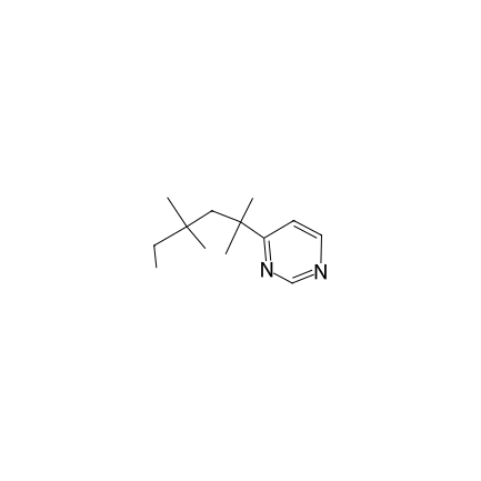 CCC(C)(C)CC(C)(C)c1ccncn1